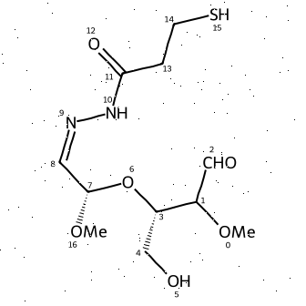 COC(C=O)[C@H](CO)O[C@@H](/C=N\NC(=O)CCS)OC